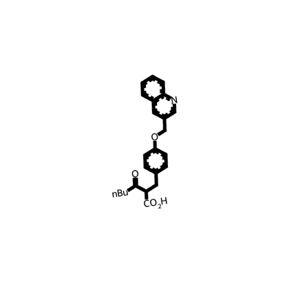 CCCCC(=O)C(Cc1ccc(OCc2cnc3ccccc3c2)cc1)C(=O)O